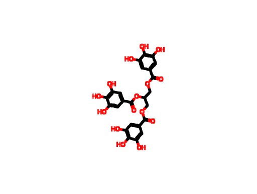 O=C(OCC(COC(=O)c1cc(O)c(O)c(O)c1)OC(=O)c1cc(O)c(O)c(O)c1)c1cc(O)c(O)c(O)c1